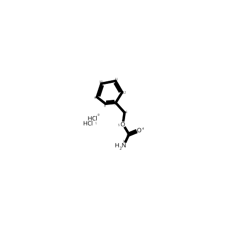 Cl.Cl.NC(=O)OCc1ccccc1